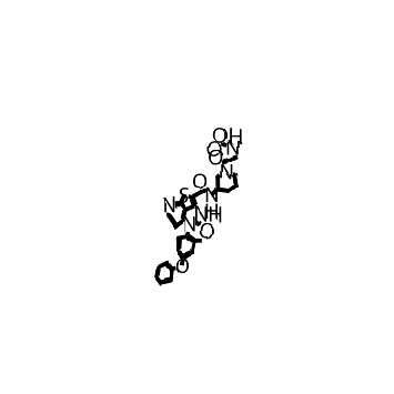 Cc1cc(Oc2ccccc2)ccc1N1C(=O)Nc2c(C(=O)NC3CCCN(C(=O)CN(C)C(=O)O)C3)sc3nccc1c23